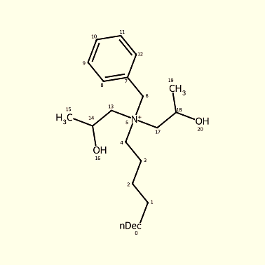 CCCCCCCCCCCCCC[N+](Cc1ccccc1)(CC(C)O)CC(C)O